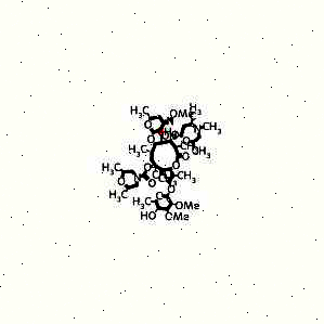 CO/N=C1\C[C@@H](C)O[C@@H](O[C@@H]2[C@@H](C)[C@H](O[C@H]3C[C@@H](C)N(C)C[C@H](C)O3)[C@@H](C)C(=O)O[C@H]([C@@H](C)CO[C@@H]3O[C@H](C)[C@@H](O)[C@@H](OC)[C@H]3OC)C(C)[C@@](C)(OC(=O)N3C[C@H](C)O[C@@H](C)C3)C[C@@H]2C)[C@@H]1O